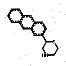 [c]1c(C2CNCCS2)ccc2cc3ccccc3cc12